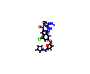 CN(C(=N)N)C(=O)c1cc2c(Cl)cc(Oc3ccc(CN4CCCC4)o3)cc2[nH]1